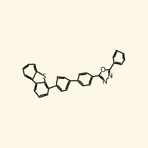 c1ccc(-c2nnc(-c3ccc(-c4ccc(-c5cccc6c5sc5ccccc56)cc4)cc3)o2)cc1